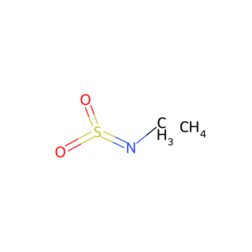 C.CN=S(=O)=O